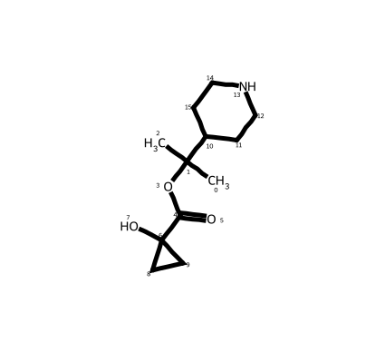 CC(C)(OC(=O)C1(O)CC1)C1CCNCC1